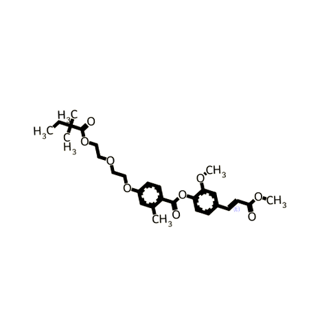 CCC(C)(C)C(=O)OCCOCCOc1ccc(C(=O)Oc2ccc(/C=C/C(=O)OC)cc2OC)c(C)c1